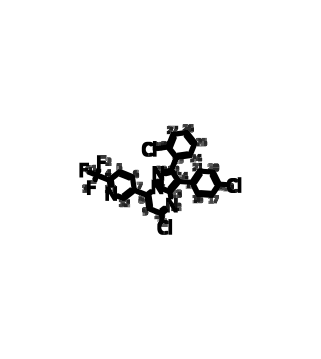 FC(F)(F)c1ccc(-c2cc(Cl)nc3c(-c4ccc(Cl)cc4)c(-c4ccccc4Cl)nn23)cn1